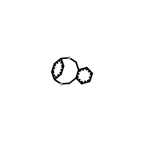 c1ccc2c(c1)CSc1ccc(cc1)SC2